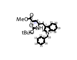 COC(=O)/C=C/C(Cc1cn(Cc2ccccc2)c2ccccc12)NC(=O)OC(C)(C)C